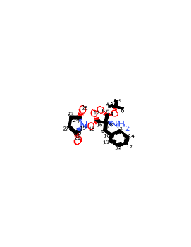 CC(C)(C)OC(=O)C(N)(Cc1ccccc1)C(=O)ON1C(=O)CCC1=O